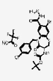 CC(C)(C)OC(=O)N[C@H]1CSc2cc(Br)c(C(=O)NN)cc2N(Cc2ccc(Cl)cc2)C1=O.O=C(O)C(F)(F)F